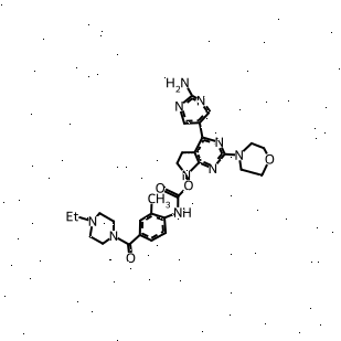 CCN1CCN(C(=O)c2ccc(NC(=O)ON3CCc4c(-c5cnc(N)nc5)nc(N5CCOCC5)nc43)c(C)c2)CC1